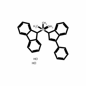 Cl.Cl.[CH3][Zr]([CH3])(=[SiH2])([CH]1C=C(c2ccccc2)c2ccccc21)[CH]1c2ccccc2-c2ccccc21